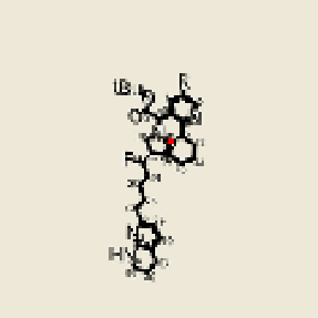 CC(C)(C)OC(=O)C(c1cc(F)cnc1C1CCCCO1)N1CC[C@@H](C(F)CCCCc2ccc3c(n2)NCCC3)C1